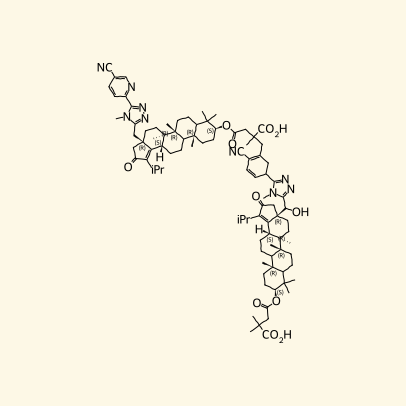 CC(C)C1=C2[C@H]3CCC4[C@@]5(C)CC[C@H](OC(=O)CC(C)(CC6=C(C#N)C=CC(c7nnc(C(O)[C@@]89CC[C@]%10(C)[C@H](CCC%11[C@@]%12(C)CC[C@H](OC(=O)CC(C)(C)C(=O)O)C(C)(C)C%12CC[C@]%11%10C)C8=C(C(C)C)C(=O)C9)n7C)C6)C(=O)O)C(C)(C)C5CC[C@@]4(C)[C@]3(C)CC[C@@]2(Cc2nnc(-c3ccc(C#N)cn3)n2C)CC1=O